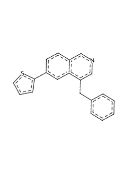 c1ccc(Cc2cncc3ccc(-c4cccs4)cc23)cc1